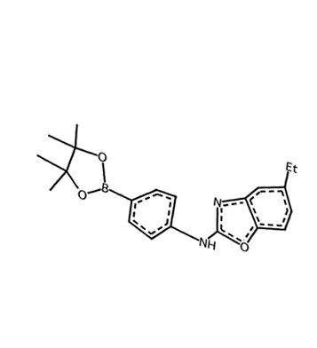 CCc1ccc2oc(Nc3ccc(B4OC(C)(C)C(C)(C)O4)cc3)nc2c1